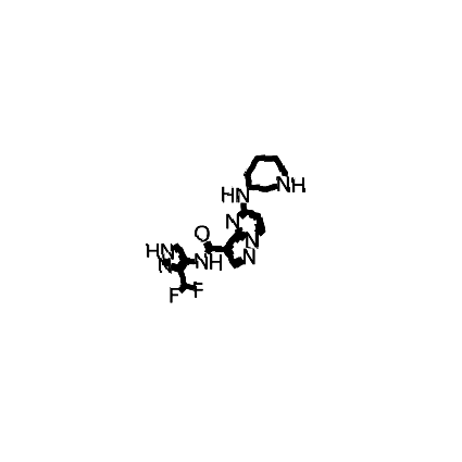 O=C(Nc1c[nH]nc1C(F)F)c1cnn2ccc(NC3CCCCNC3)nc12